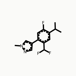 CC(C)c1cc(C(F)F)c(-c2cnn(C)c2)cc1F